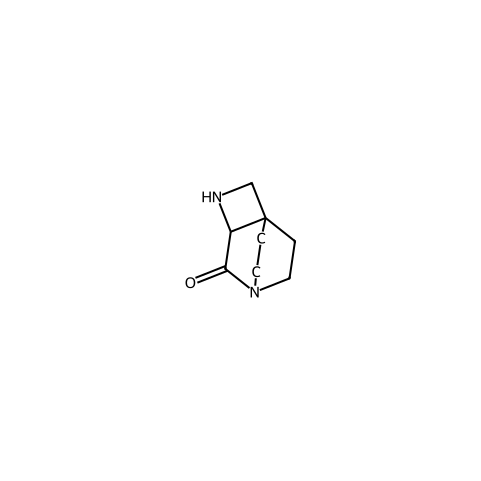 O=C1C2NCC23CCN1CC3